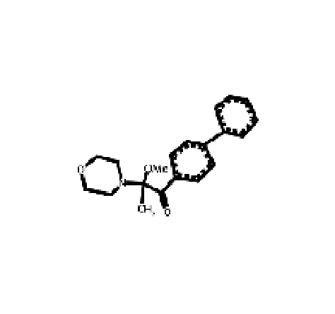 COC(C)(C(=O)c1ccc(-c2ccccc2)cc1)N1CCOCC1